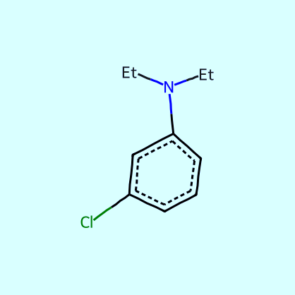 CCN(CC)c1cccc(Cl)c1